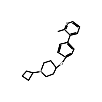 Cc1ncccc1-c1ccc(OC2CCN(C3CCC3)CC2)cc1